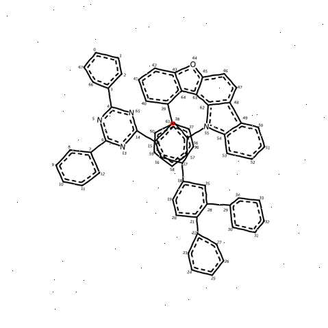 c1ccc(-c2nc(-c3ccccc3)nc(-c3cc(-c4ccc(-c5ccccc5)c(-c5ccccc5)c4)ccc3-c3cccc4oc5ccc6c7ccccc7n(-c7ccccc7)c6c5c34)n2)cc1